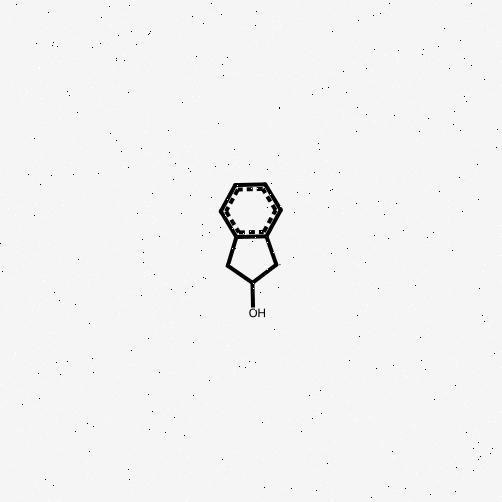 OC1[CH]c2ccccc2C1